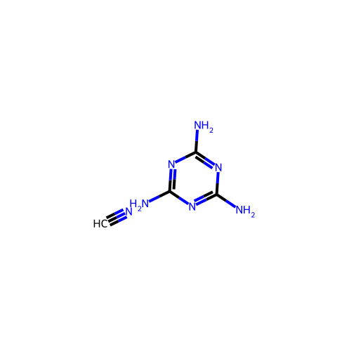 C#N.Nc1nc(N)nc(N)n1